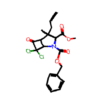 C=CCC1(C)C2C(=O)C(Cl)(Cl)C2N(C(=O)OCc2ccccc2)C1C(=O)OC